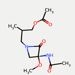 CO[C@]1(NC(C)=O)CN(CC(C)COC(C)=O)C1=O